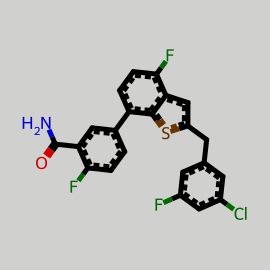 NC(=O)c1cc(-c2ccc(F)c3cc(Cc4cc(F)cc(Cl)c4)sc23)ccc1F